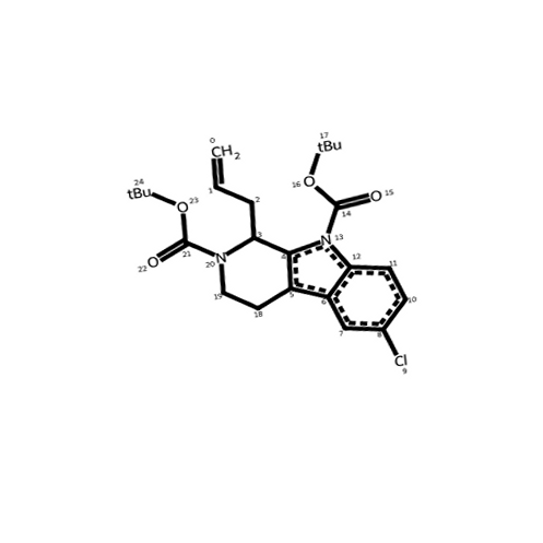 C=CCC1c2c(c3cc(Cl)ccc3n2C(=O)OC(C)(C)C)CCN1C(=O)OC(C)(C)C